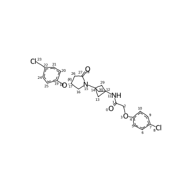 O=C(COc1ccc(Cl)cc1)NC12CC(N3C[C@H](Oc4ccc(Cl)cc4)CC3=O)(C1)C2